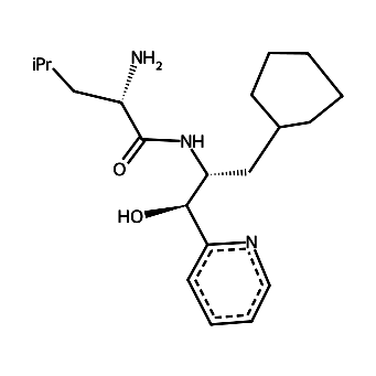 CC(C)C[C@H](N)C(=O)N[C@H](CC1CCCCC1)[C@H](O)c1ccccn1